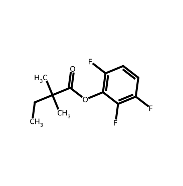 CCC(C)(C)C(=O)Oc1c(F)ccc(F)c1F